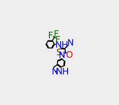 N#Cc1c(Nc2ccccc2C(F)(F)F)sn(-c2ccc3[nH]ncc3c2)c1=O